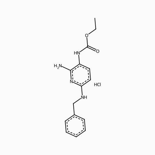 CCOC(=O)Nc1ccc(NCc2ccccc2)nc1N.Cl